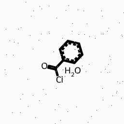 O.O=C(Cl)c1ccccc1